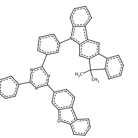 CC1(C)c2ccccc2-c2cc3c4ccccc4n(-c4cccc(-c5nc(-c6ccccc6)nc(-c6ccc7c(c6)oc6ccccc67)n5)c4)c3cc21